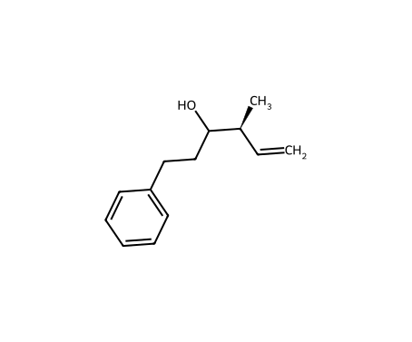 C=C[C@H](C)C(O)CCc1ccccc1